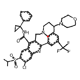 CC(C)S(=O)(=O)c1cc2c(C(=O)NC3(c4ccccc4)CC3)c(CN3CCC(N4CCOCC4)CC3)c(-c3cccc(C(F)(F)F)c3)nc2cc1Cl